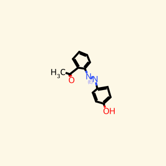 CC(=O)c1ccccc1/N=N/c1ccc(O)cc1